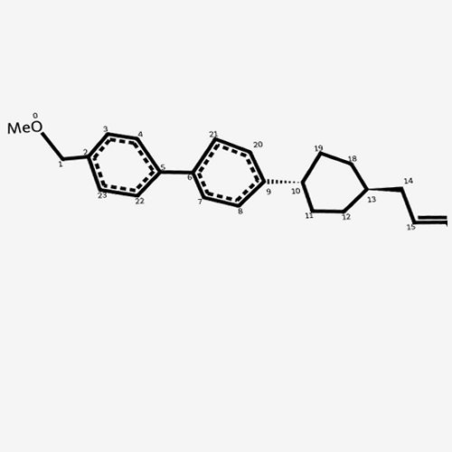 COCc1ccc(-c2ccc([C@H]3CC[C@H](CC=CF)CC3)cc2)cc1